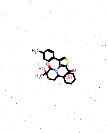 Cc1ccc(-c2csc(C(=O)O)c2N2C(=O)C(C)(O)CCC2C2CCCCC2)cc1